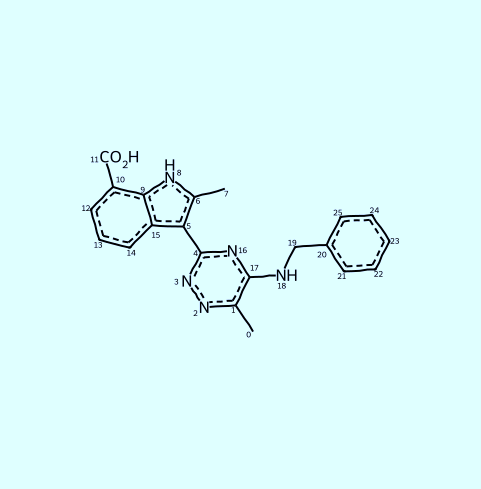 Cc1nnc(-c2c(C)[nH]c3c(C(=O)O)cccc23)nc1NCc1ccccc1